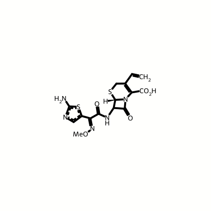 C=CC1=C(C(=O)O)N2C(=O)C(NC(=O)C(=NOC)c3cnc(N)s3)[C@@H]2SC1